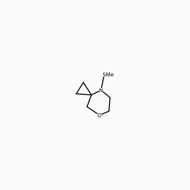 CSN1CCOCC12CC2